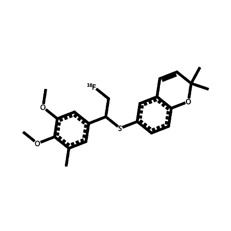 COc1cc(C(C[18F])Sc2ccc3c(c2)C=CC(C)(C)O3)cc(C)c1OC